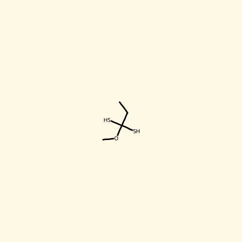 CCC(S)(S)OC